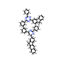 CC1(C)c2ccccc2-c2cc(-c3nc(-c4ccccc4)nc(-c4cccc(-c5cccc(-c6cc(-c7ccc8c(c7)C(C)(C)c7cc9ccccc9cc7-8)nc(-c7ccccc7)n6)c5)c4)n3)ccc21